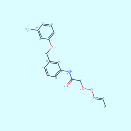 CC=NOOCC(=O)Nc1cccc(COc2cccc(C(F)(F)F)c2)c1